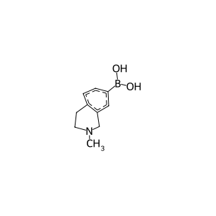 CN1CCc2ccc(B(O)O)cc2C1